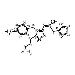 CCCCc1ncc(/C=C(/C)Cc2cccs2)n1Cc1ccc(C)cc1